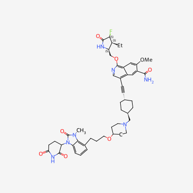 CC[C@@H]1[C@H](F)C(=O)N[C@@H]1COc1ncc(C#C[C@H]2CC[C@H](CN3CCC(OCCCc4cccc5c4n(C)c(=O)n5C4CCC(=O)NC4=O)CC3)CC2)c2cc(C(N)=O)c(OC)cc12